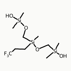 C[Si](C)(O)CO[Si](C)(CCC(F)(F)F)CO[Si](C)(C)O